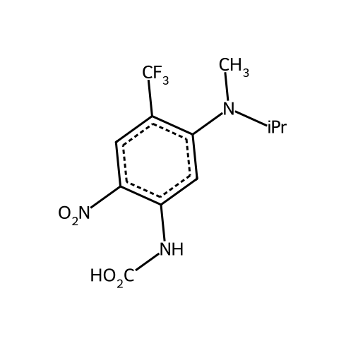 CC(C)N(C)c1cc(NC(=O)O)c([N+](=O)[O-])cc1C(F)(F)F